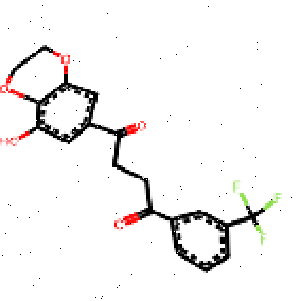 O=C(CCC(=O)c1cc(O)c2c(c1)OCCO2)c1cccc(C(F)(F)F)c1